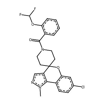 Cn1ncc2c1-c1ccc(Cl)cc1OC21CCN(C(=O)c2ccccc2OC(F)F)CC1